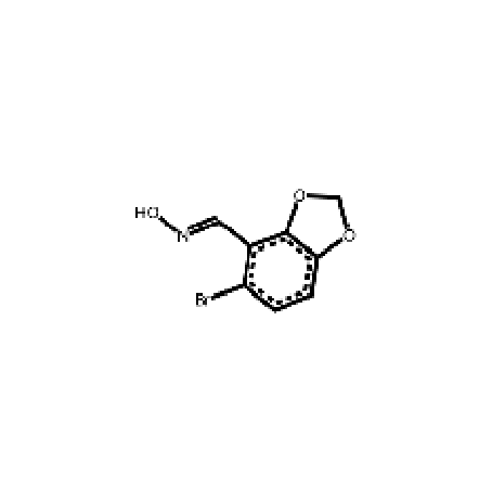 O/N=C/c1c(Br)ccc2c1OCO2